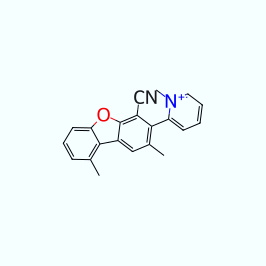 Cc1cc2c(oc3cccc(C)c32)c(C#N)c1-c1cccc[n+]1C